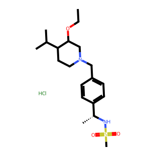 CCOC1CN(Cc2ccc([C@@H](C)NS(C)(=O)=O)cc2)CCC1C(C)C.Cl